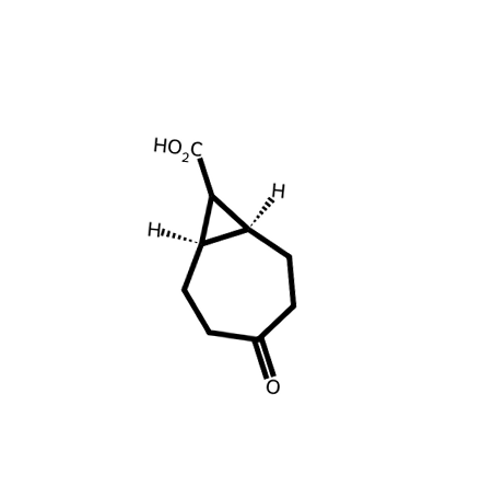 O=C1CC[C@@H]2C(C(=O)O)[C@@H]2CC1